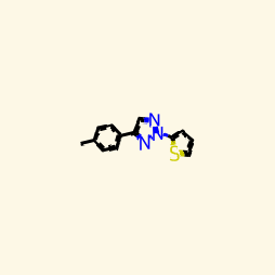 Cc1ccc(-c2cnn(-c3cccs3)n2)cc1